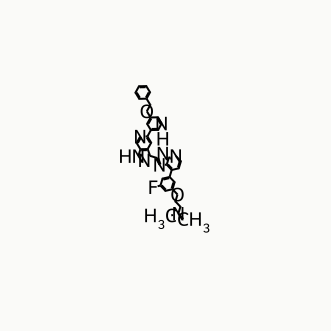 CN(C)CCOc1cc(F)cc(-c2ccnc3[nH]c(-c4n[nH]c5cnc(-c6cncc(OCc7ccccc7)c6)cc45)nc23)c1